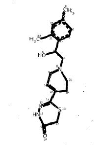 Cc1ccc(C(O)CN2CC=C(C3=NNC(=O)CS3)CC2)c(C)c1